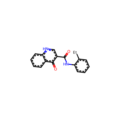 CCc1ccccc1NC(=O)c1c[nH]c2ccccc2c1=O